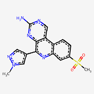 Cn1cc(-c2nc3cc(S(C)(=O)=O)ccc3c3cnc(N)nc23)cn1